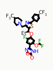 CCC(Oc1cc(OC(F)F)c(-c2noc(=O)[nH]2)cc1F)c1sc(-c2ccc(C(F)(F)F)cc2)nc1CN1CCC(C(F)(F)F)CC1